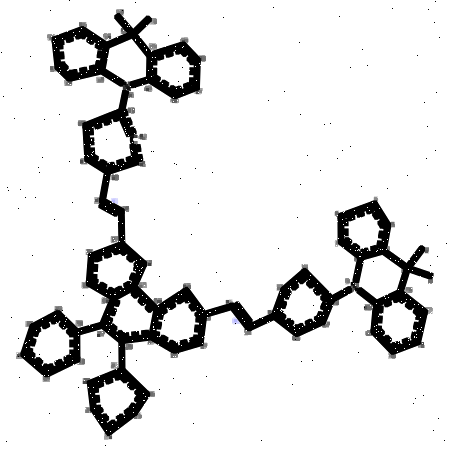 CC1(C)c2ccccc2N(c2ccc(/C=C/c3ccc4c(-c5ccccc5)c(-c5ccccc5)c5ccc(/C=C/c6ccc(N7c8ccccc8C(C)(C)c8ccccc87)cc6)cc5c4c3)cc2)c2ccccc21